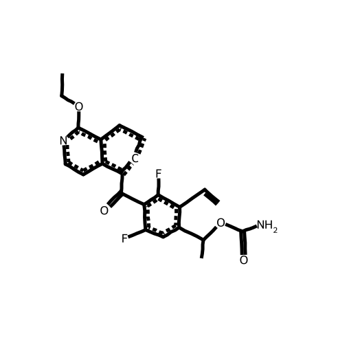 C=Cc1c(C(C)OC(N)=O)cc(F)c(C(=O)c2cccc3c(OCC)nccc23)c1F